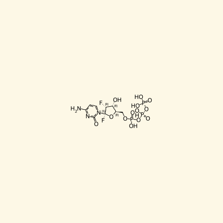 Nc1ccn([C@]2(F)O[C@H](COP(=O)(O)OP(=O)(O)OP(=O)(O)O)[C@@H](O)[C@H]2F)c(=O)n1